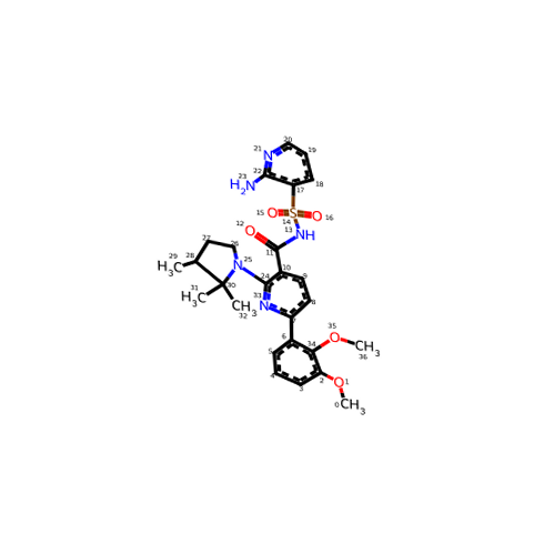 COc1cccc(-c2ccc(C(=O)NS(=O)(=O)c3cccnc3N)c(N3CCC(C)C3(C)C)n2)c1OC